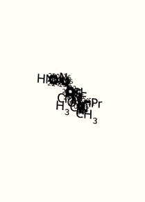 Cc1c(N(C(F)F)[S+]([O-])c2c(Cl)cc(-c3ccnc(N4CCNCC4)c3)cc2Cl)c(CC(C)C)nn1C